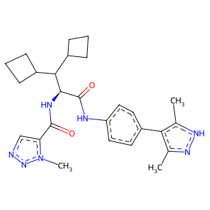 Cc1n[nH]c(C)c1-c1ccc(NC(=O)[C@@H](NC(=O)c2cnnn2C)C(C2CCC2)C2CCC2)cc1